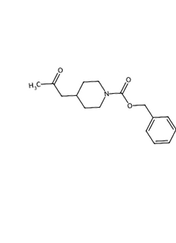 CC(=O)CC1CCN(C(=O)OCc2ccccc2)CC1